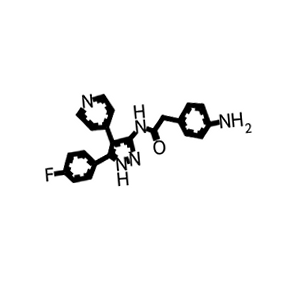 Nc1ccc(CC(=O)Nc2n[nH]c(-c3ccc(F)cc3)c2-c2ccncc2)cc1